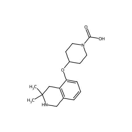 CC1(C)Cc2c(cccc2OC2CCN(C(=O)O)CC2)CN1